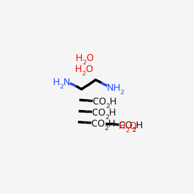 CC(=O)O.CC(=O)O.CC(=O)O.CC(=O)O.NCCN.O.O.O